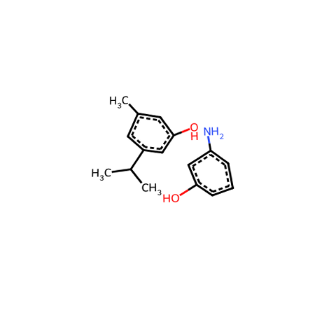 Cc1cc(O)cc(C(C)C)c1.Nc1cccc(O)c1